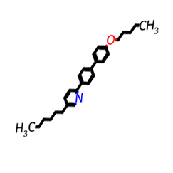 CCCCCCc1ccc(-c2ccc(-c3ccc(OCCCCC)cc3)cc2)nc1